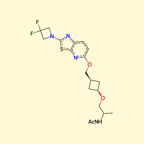 CC(=O)NC(C)CO[C@H]1C[C@@H](COc2ccc3nc(N4CC(F)(F)C4)sc3n2)C1